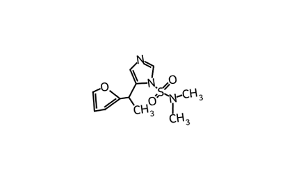 CC(c1ccco1)c1cncn1S(=O)(=O)N(C)C